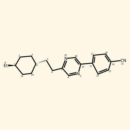 CC[C@H]1CC[C@H](CCc2cnc(-c3ccc(C#N)cc3)cn2)CC1